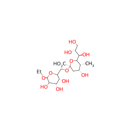 CCO[C@H]1OC(CO[C@]2(C(=O)O)C[C@@H](O)[C@@H](C)C([C@H](O)[C@H](O)CO)O2)[C@H](O)[C@H](O)C1O